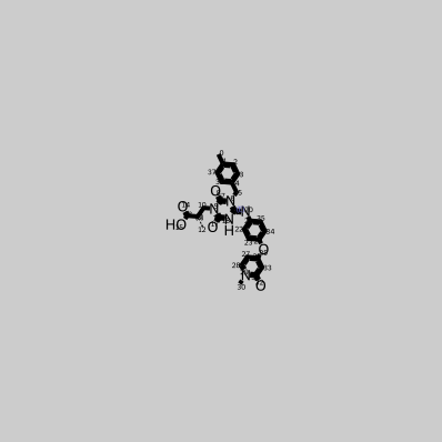 Cc1ccc(Cn2c(=O)n(C[C@H](C)C(=O)O)c(=O)[nH]/c2=N\c2ccc(Oc3ccn(C)c(=O)c3)cc2)cc1